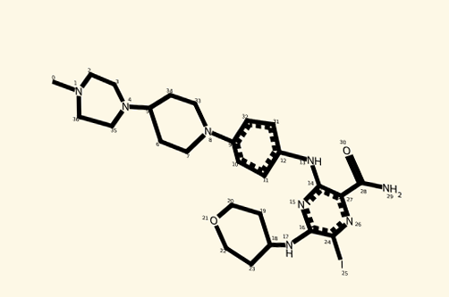 CN1CCN(C2CCN(c3ccc(Nc4nc(NC5CCOCC5)c(I)nc4C(N)=O)cc3)CC2)CC1